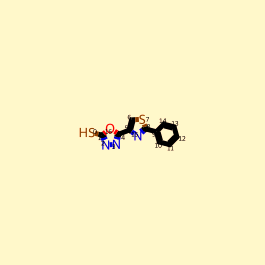 Sc1nnc(-c2csc(-c3ccccc3)n2)o1